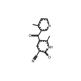 Cc1ccncc1C(=O)c1cc(C#N)c(=O)[nH]c1C